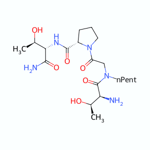 CCCCCN(CC(=O)N1CCC[C@H]1C(=O)N[C@H](C(N)=O)[C@@H](C)O)C(=O)[C@@H](N)[C@@H](C)O